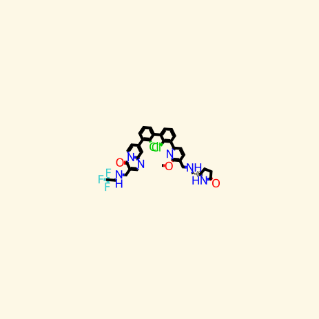 COc1nc(-c2cccc(-c3cccc(-c4ccn5c(=O)c(CNCC(F)(F)F)cnc5c4)c3Cl)c2Cl)ccc1CNC[C@@H]1CCC(=O)N1